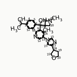 CC(C)c1ccc([C@](O)(c2cncc(-n3cnc(C4CCOC4)c3)c2)C2(C)CN(C)C2)cc1